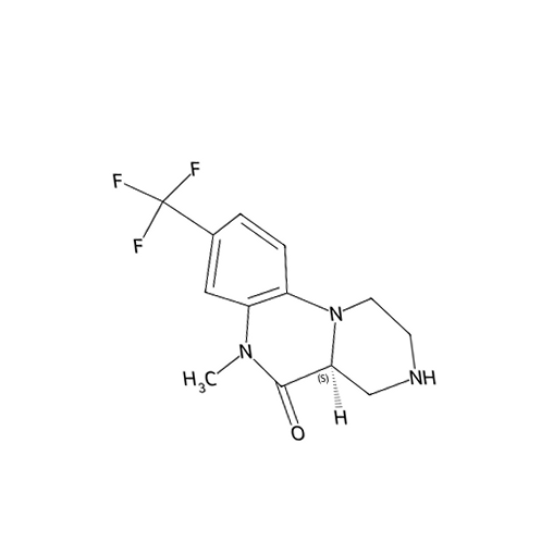 CN1C(=O)[C@@H]2CNCCN2c2ccc(C(F)(F)F)cc21